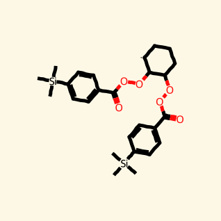 C[Si](C)(C)c1ccc(C(=O)OO[C]2CCC[CH]C2OOC(=O)c2ccc([Si](C)(C)C)cc2)cc1